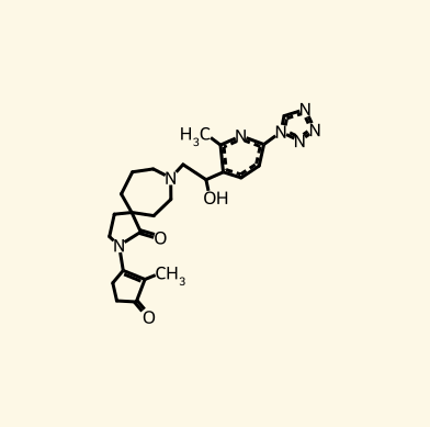 CC1=C(N2CCC3(CCCN(CC(O)c4ccc(-n5cnnn5)nc4C)CC3)C2=O)CCC1=O